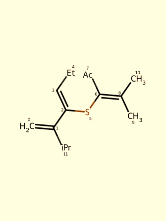 C=C(/C(=C/CC)SC(C(C)=O)=C(C)C)C(C)C